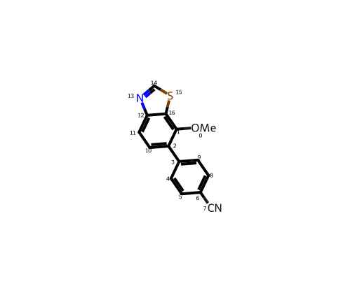 COc1c(-c2ccc(C#N)cc2)ccc2ncsc12